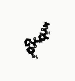 Cc1cc(NC(=O)C(=O)N2CCCC[C@H]2c2ccc(N)cn2)cnc1NC(=O)OC(C)(C)C